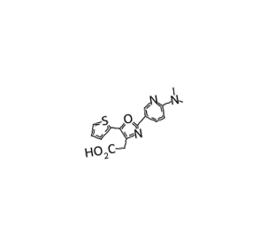 CN(C)c1ccc(-c2nc(CC(=O)O)c(-c3cccs3)o2)cn1